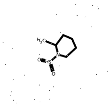 CC1CCCCN1[SH](=O)=O